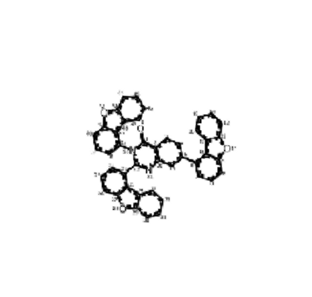 O=c1c2ccc(-c3cccc4oc5ccccc5c34)cc2nc(-c2cccc3oc4ccccc4c23)n1-c1cccc2oc3ccccc3c12